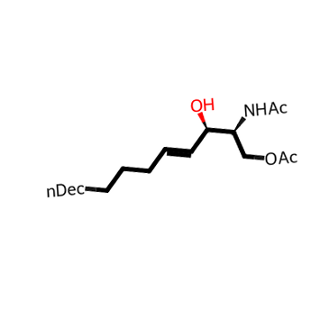 CCCCCCCCCCCCC/C=C/[C@@H](O)[C@H](COC(C)=O)NC(C)=O